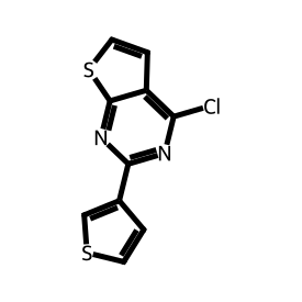 Clc1nc(-c2ccsc2)nc2sccc12